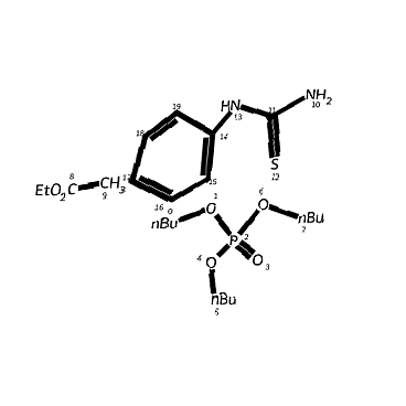 CCCCOP(=O)(OCCCC)OCCCC.CCOC(C)=O.NC(=S)Nc1ccccc1